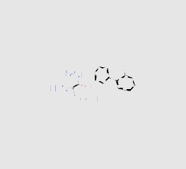 NN/C(Oc1cccc(-c2ccccc2F)c1)=C(\N)C(=O)O